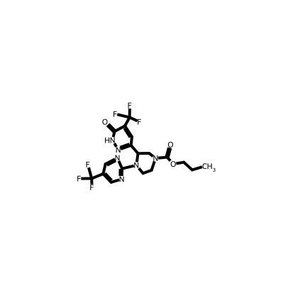 CCCOC(=O)N1CCN(c2ncc(C(F)(F)F)cn2)C(c2cc(C(F)(F)F)c(=O)[nH]n2)C1